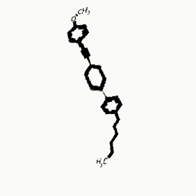 CCCCCCc1ccc([C@H]2CC[C@H](C#Cc3ccc(OC)cc3)CC2)cc1